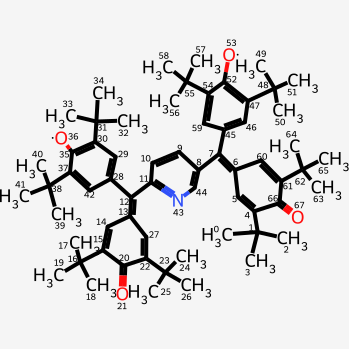 CC(C)(C)C1=CC(=C(c2ccc(C(=C3C=C(C(C)(C)C)C(=O)C(C(C)(C)C)=C3)c3cc(C(C)(C)C)c([O])c(C(C)(C)C)c3)nc2)c2cc(C(C)(C)C)c([O])c(C(C)(C)C)c2)C=C(C(C)(C)C)C1=O